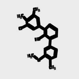 COc1cc(-c2cccc(-c3cc(C)c(C)c(Cl)c3)c2O)ccc1C